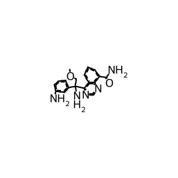 COCC(N)(c1cccc(N)c1)c1ncnc2c(C(N)=O)cccc12